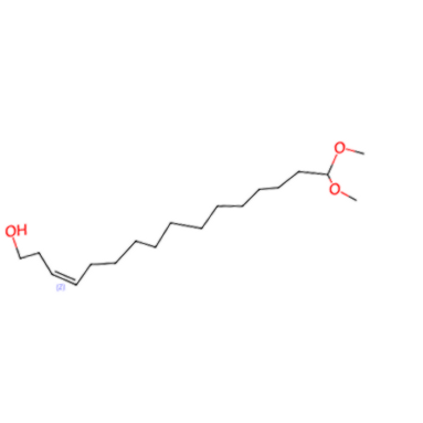 COC(CCCCCCCCCCC/C=C\CCO)OC